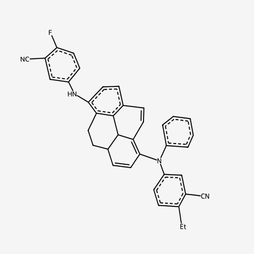 CCc1ccc(N(C2=C3C=Cc4ccc(Nc5ccc(F)c(C#N)c5)c5c4C3C(C=C2)CC5)c2ccccc2)cc1C#N